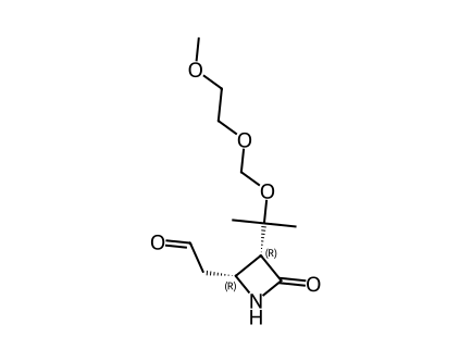 COCCOCOC(C)(C)[C@@H]1C(=O)N[C@@H]1CC=O